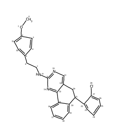 COc1ccc(CCNc2ncc3c(n2)-c2ccccc2C(c2ccccc2Cl)C3)cc1